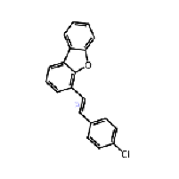 Clc1ccc(/C=C/c2cccc3c2oc2ccccc23)cc1